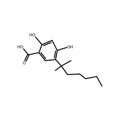 CCCCCC(C)(C)c1cc(C(=O)O)c(O)cc1O